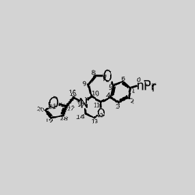 CCCc1ccc2c(c1)OCCC1C2OCCN1Cc1ccco1